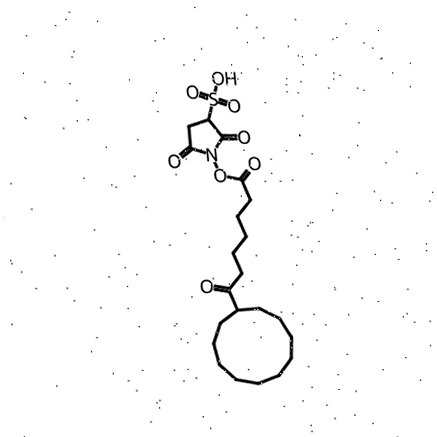 O=C(CCCCCC(=O)C1CCCCCCCCCC1)ON1C(=O)CC(S(=O)(=O)O)C1=O